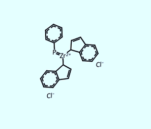 C1=C[CH]([Zr+2](=[P]c2ccccc2)[CH]2C=Cc3ccccc32)c2ccccc21.[Cl-].[Cl-]